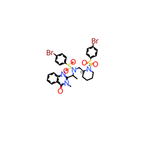 CC(c1nc2ccccc2c(=O)n1C)N(C[C@@H]1CCCCN1S(=O)(=O)c1ccc(Br)cc1)S(=O)(=O)c1ccc(Br)cc1